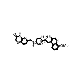 COc1cccc2c(C[C@H](N)[C@@H]3CC[C@@H](NCc4ccc5c(n4)NC(=O)CS5)CO3)c(F)cnc12